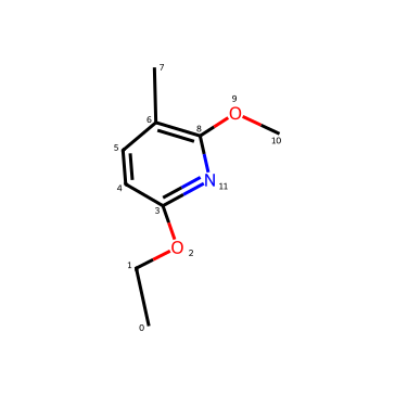 CCOc1ccc(C)c(OC)n1